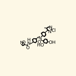 Cc1cnc(Cl)nc1-c1ccc(N(Cc2ccc(CNC(=O)c3ccno3)cc2)C(=O)c2ccc(O)cc2O)cc1